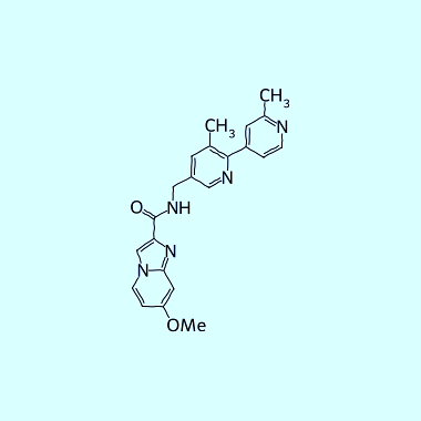 COc1ccn2cc(C(=O)NCc3cnc(-c4ccnc(C)c4)c(C)c3)nc2c1